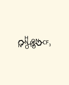 CC(C)(C(=O)Nc1cccnc1)S(=O)(=O)c1ccc(C(F)(F)F)cn1